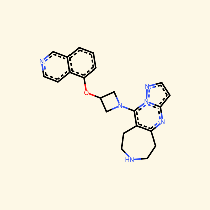 c1cc(OC2CN(c3c4c(nc5ccnn35)CCNCC4)C2)c2ccncc2c1